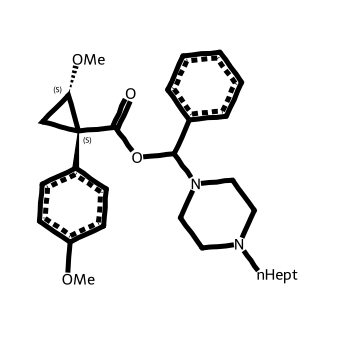 CCCCCCCN1CCN(C(OC(=O)[C@]2(c3ccc(OC)cc3)C[C@@H]2OC)c2ccccc2)CC1